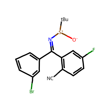 CC(C)(C)[S+]([O-])N=C(c1cccc(Br)c1)c1cc(F)ccc1C#N